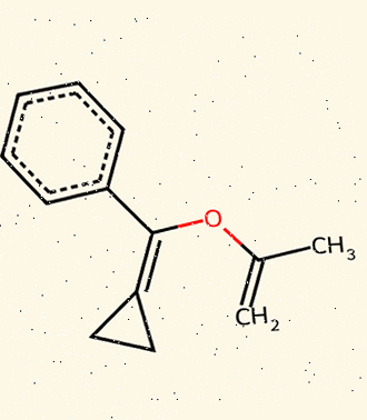 C=C(C)OC(=C1CC1)c1ccccc1